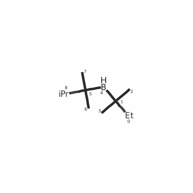 CCC(C)(C)BC(C)(C)C(C)C